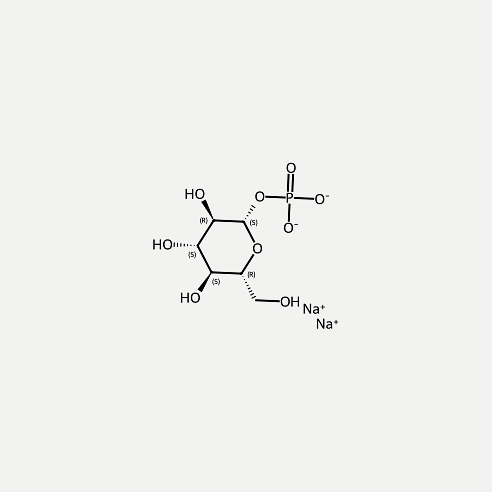 O=P([O-])([O-])O[C@@H]1O[C@H](CO)[C@@H](O)[C@H](O)[C@H]1O.[Na+].[Na+]